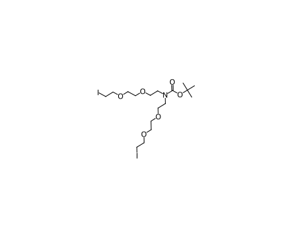 CC(C)(C)OC(=O)N(CCOCCOCCI)CCOCCOCCI